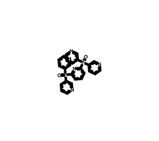 O=P(c1cccnc1)(c1cccnc1)c1cccc(P(=O)(c2cccnc2)c2cccnc2)n1